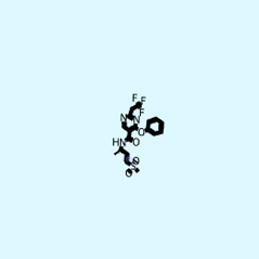 C[C@H](/C=C/S(C)(=O)=O)NC(=O)c1cnc(CC(F)(F)F)nc1Oc1ccccc1